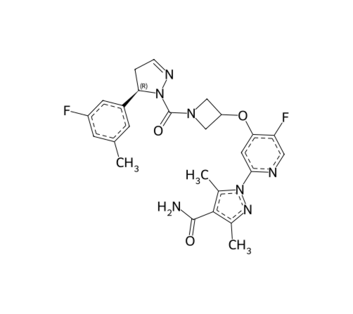 Cc1cc(F)cc([C@H]2CC=NN2C(=O)N2CC(Oc3cc(-n4nc(C)c(C(N)=O)c4C)ncc3F)C2)c1